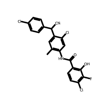 Cc1cc(C(C#N)c2ccc(Cl)cc2)c(Cl)cc1NC(=O)c1ccc(Cl)c(F)c1O